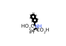 CC(C)CC(NC(C(=O)O)c1ccc2ccccc2c1)C(=O)O